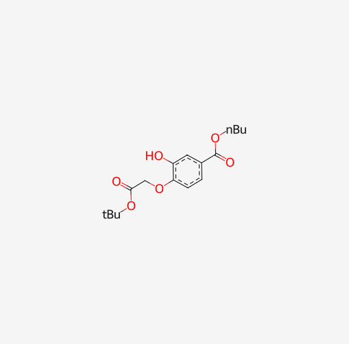 CCCCOC(=O)c1ccc(OCC(=O)OC(C)(C)C)c(O)c1